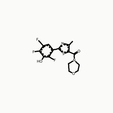 Cc1nc(-c2cc(F)c(F)c(O)c2F)sc1C(=O)N1CCOCC1